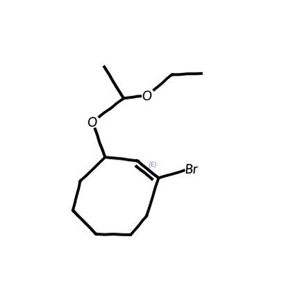 CCOC(C)OC1/C=C(/Br)CCCCC1